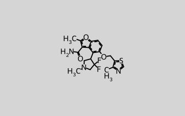 Cc1ncsc1COc1ccc2oc(C)c(C(N)=O)c2c1C1CN(C)CC1(F)F